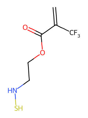 C=C(C(=O)OCCNS)C(F)(F)F